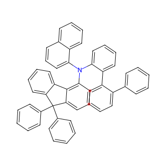 c1ccc(-c2ccccc2-c2ccccc2N(c2cccc3c2-c2ccccc2C3(c2ccccc2)c2ccccc2)c2cccc3ccccc23)cc1